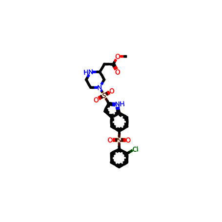 COC(=O)CC1CN(S(=O)(=O)c2cc3cc(S(=O)(=O)c4ccccc4Cl)ccc3[nH]2)CCN1